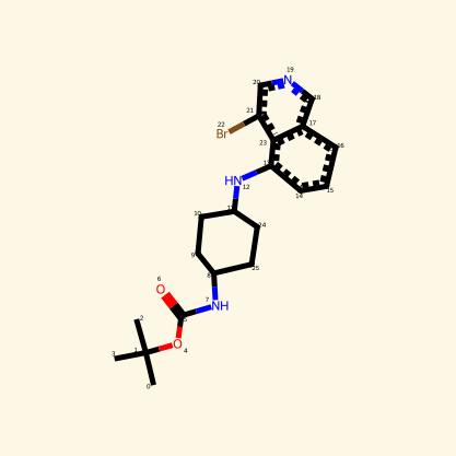 CC(C)(C)OC(=O)NC1CCC(Nc2cccc3cncc(Br)c23)CC1